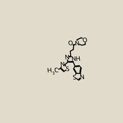 Cc1csc(-c2nc(CCC(=O)N3CCOCC3)[nH]c2-c2ccc3ncsc3c2)n1